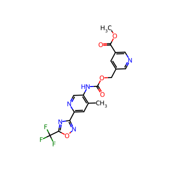 COC(=O)c1cncc(COC(=O)Nc2cnc(-c3noc(C(F)(F)F)n3)cc2C)c1